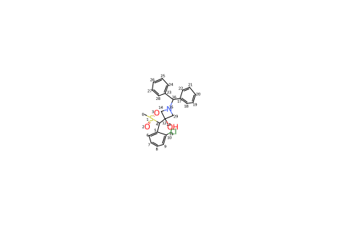 CS(=O)(=O)C(c1ccccc1Cl)C1(O)CN(C(c2ccccc2)c2ccccc2)C1